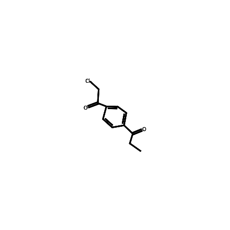 CCC(=O)c1ccc(C(=O)CCl)cc1